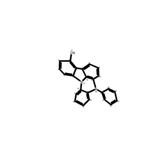 N#Cc1cccc2c1c1cccc3c1n2-c1ccccc1B3c1ccccc1